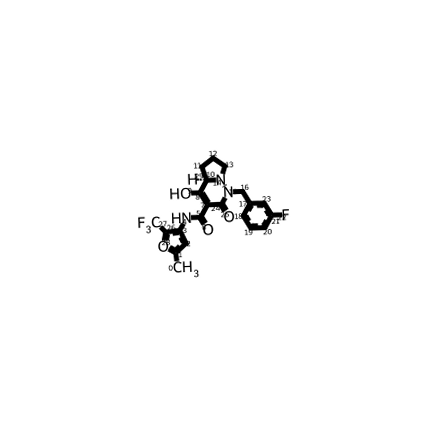 Cc1cc(NC(=O)C2=C(O)[C@H]3CCCN3N(Cc3cccc(F)c3)C2=O)c(C(F)(F)F)o1